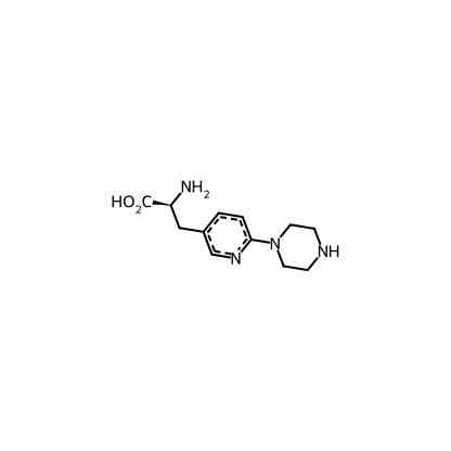 N[C@@H](Cc1ccc(N2CCNCC2)nc1)C(=O)O